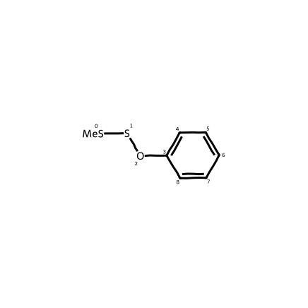 CSSOc1ccccc1